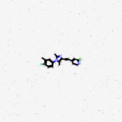 Cc1cc(-n2c(C)nc(C#Cc3ccnc(Cl)c3)c2C)ccc1F